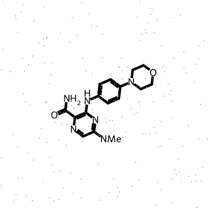 CNc1cnc(C(N)=O)c(Nc2ccc(N3CCOCC3)cc2)n1